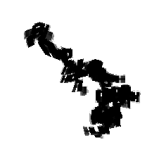 C[14C](=O)SCCNC(=O)CCNC(=O)[C@H](O)C(C)(C)COP(=O)(O)OP(=O)(O)OC[C@H]1O[C@@H](n2cnc3c(N)ncnc32)[C@H](O)[C@@H]1OP(=O)(O)O